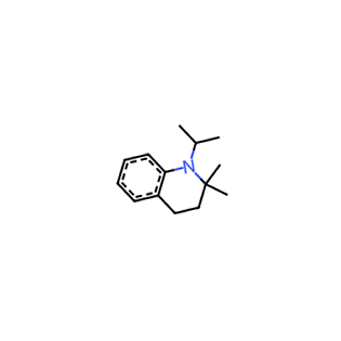 CC(C)N1c2ccccc2CCC1(C)C